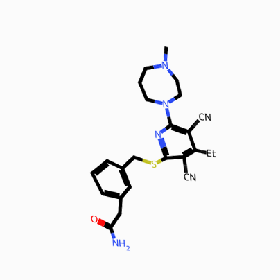 CCc1c(C#N)c(SCc2cccc(CC(N)=O)c2)nc(N2CCCN(C)CC2)c1C#N